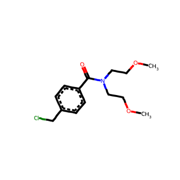 COCCN(CCOC)C(=O)c1ccc(CCl)cc1